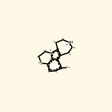 Fc1ccc2c3c1c1c(n3CCS2)CCNCC1